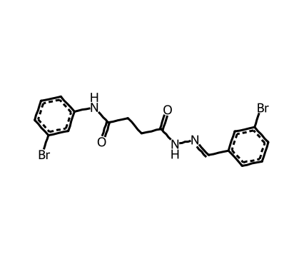 O=C(CCC(=O)Nc1cccc(Br)c1)N/N=C/c1cccc(Br)c1